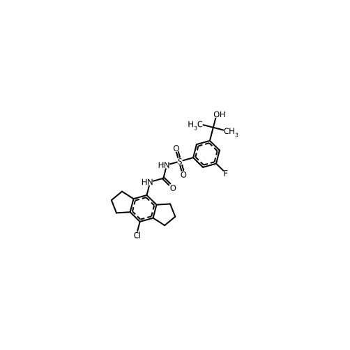 CC(C)(O)c1cc(F)cc(S(=O)(=O)NC(=O)Nc2c3c(c(Cl)c4c2CCC4)CCC3)c1